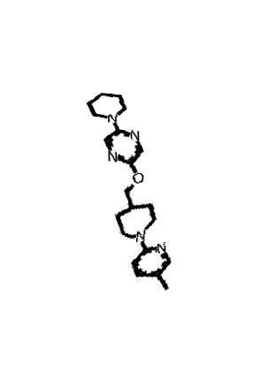 Cc1ccc(N2CCC(COc3cnc(N4CCCCC4)cn3)CC2)nc1